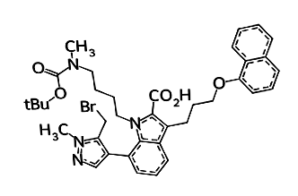 CN(CCCCn1c(C(=O)O)c(CCCOc2cccc3ccccc23)c2cccc(-c3cnn(C)c3CBr)c21)C(=O)OC(C)(C)C